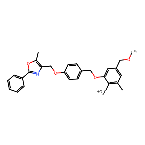 CCCOCc1cc(C)c(C(=O)O)c(OCc2ccc(OCc3nc(-c4ccccc4)oc3C)cc2)c1